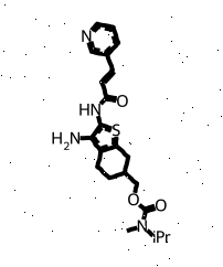 CC(C)N(C)C(=O)OCC1CCc2c(sc(NC(=O)/C=C/c3cccnc3)c2N)C1